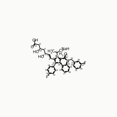 CC(C)n1c(C=C[C@H](O)C[C@@H](O)CC(=O)O)c(-c2ccc(F)cc2)c2c3ccccc3n(Cc3cccc(F)c3)c(=O)c21.[NaH]